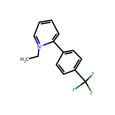 CC[n+]1ccccc1-c1ccc(C(F)(F)F)cc1